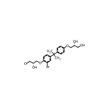 CC(C)(c1ccc(OC[C@H](O)CO)cc1)c1ccc(OC[C@H](O)CCl)c(Br)c1